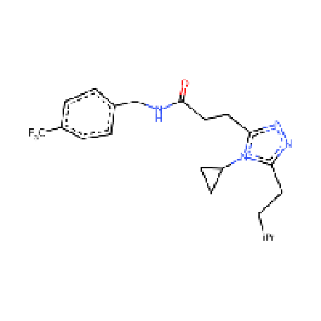 CC(C)CCc1nnc(CCC(=O)NCc2ccc(C(F)(F)F)cc2)n1C1CC1